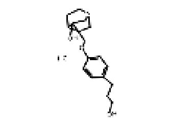 Cl.OCCCc1ccc(OCC2(O)CN3CCC2CC3)cc1